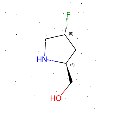 OC[C@@H]1C[C@@H](F)CN1